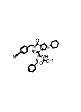 N#Cc1ccc(CNC(=O)[C@@H]2C[C@H](C3CCCCC3)CN2C(=O)[C@@H](CCc2ccccc2)NC(=O)O)cc1